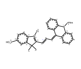 CCCCCCN1c2ccccc2C(=C/C=C/C2=[N+](CC)c3ccc(S(=O)(=O)O)cc3C2(C)C)c2ccccc21